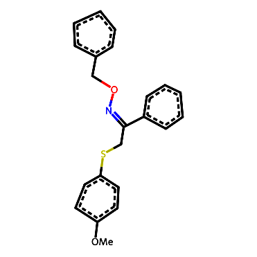 COc1ccc(SCC(=NOCc2ccccc2)c2ccccc2)cc1